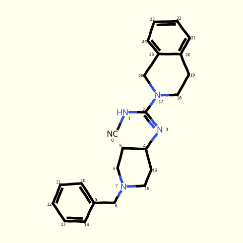 N#CN/C(=N\C1CCN(Cc2ccccc2)CC1)N1CCc2ccccc2C1